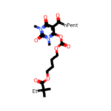 CCCCCC(=O)c1c(OC(=O)OCCCCOC(=O)C(C)(C)CC)n(C)c(=O)n(C)c1=O